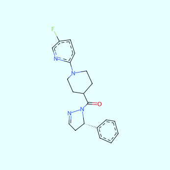 O=C(C1CCN(c2ccc(F)cn2)CC1)N1N=CC[C@H]1c1ccccc1